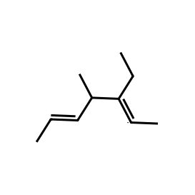 C/[C]=C(\CC)C(C)C=CC